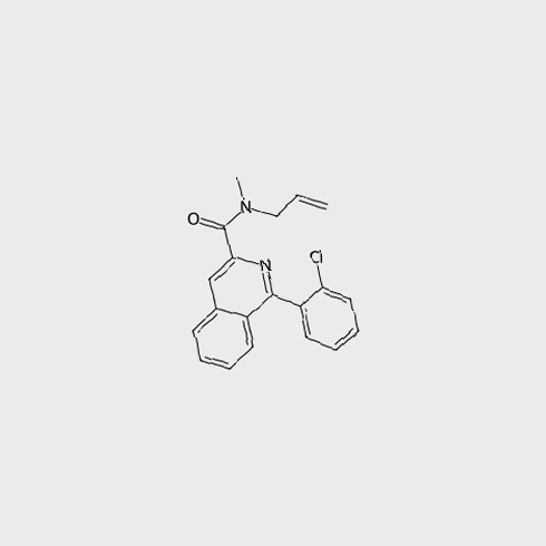 C=CCN(C)C(=O)c1cc2ccccc2c(-c2ccccc2Cl)n1